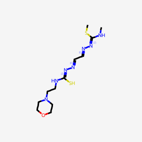 CN/C(=N/N=C/C=N/N=C(\S)NCCN1CCOCC1)SC